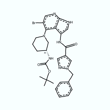 CC(C)(C)OC(=O)N[C@@H]1CCCN(c2c(Br)cnc3[nH]cc(NC(=O)c4cnn(Cc5ccccc5)c4)c23)C1